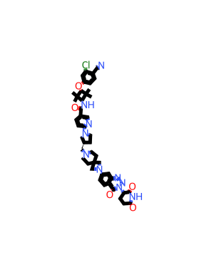 CC1(C)C(NC(=O)c2ccc(N3CC[C@H](CN4CCC5(CC4)CN(c4ccc6c(=O)n(C7CCC(=O)NC7=O)nnc6c4)C5)C3)nc2)C(C)(C)C1Oc1ccc(C#N)c(Cl)c1